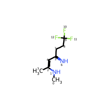 CN/C(C)=C\C(=N)CCC(F)(F)F